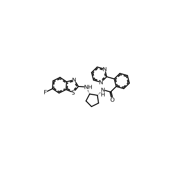 O=C(N[C@@H]1CCC[C@@H]1Nc1nc2ccc(F)cc2s1)c1ccccc1-c1ncccn1